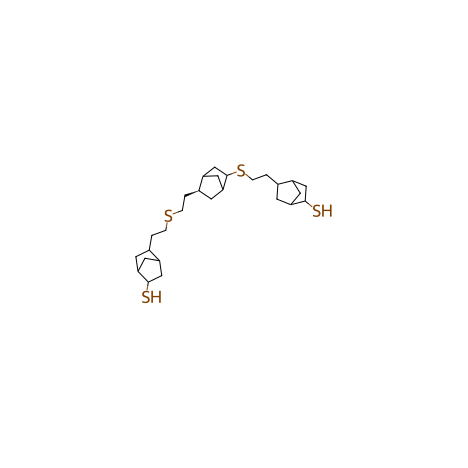 SC1CC2CC1CC2CCSCC[C@@H]1CC2CC1CC2SCCC1CC2CC1CC2S